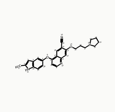 Cc1cc2cc(Oc3ccnc4cc(OCCCN5CCCC5)c(C#N)cc34)ccc2[nH]1